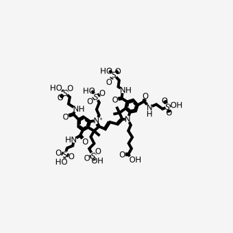 CC1(CCCS(=O)(=O)O)C(/C=C/C=C2/N(CCCCCC(=O)O)c3cc(C(=O)NCCS(=O)(=O)O)cc(C(=O)NCCS(=O)(=O)O)c3C2(C)C)=[N+](CCCS(=O)(=O)O)c2cc(C(=O)NCCS(=O)(=O)O)cc(C(=O)NCCS(=O)(=O)O)c21